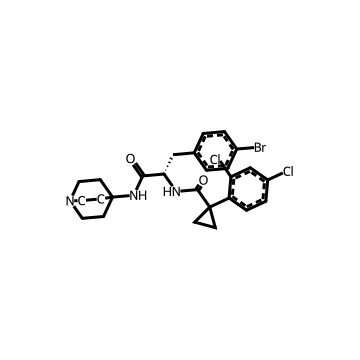 O=C(NC12CCN(CC1)CC2)[C@H](Cc1ccc(Br)cc1)NC(=O)C1(c2ccc(Cl)cc2Cl)CC1